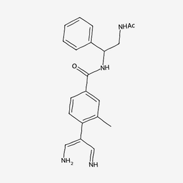 CC(=O)NCC(NC(=O)c1ccc(/C(C=N)=C/N)c(C)c1)c1ccccc1